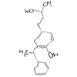 CC(O)CSc1ccc(O)c(C(C)c2ccccc2)c1